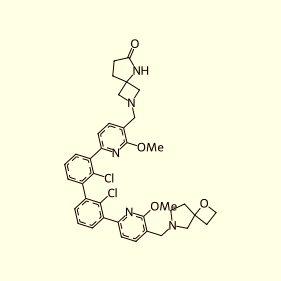 COc1nc(-c2cccc(-c3cccc(-c4ccc(CN5CCC6(CCO6)C5)c(OC)n4)c3Cl)c2Cl)ccc1CN1CC2(CCC(=O)N2)C1